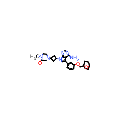 CN1CCN([C@H]2C[C@H](n3cc(-c4cccc(OCC56CCC(CC5)O6)c4)c4c(N)ncnc43)C2)CC1=O